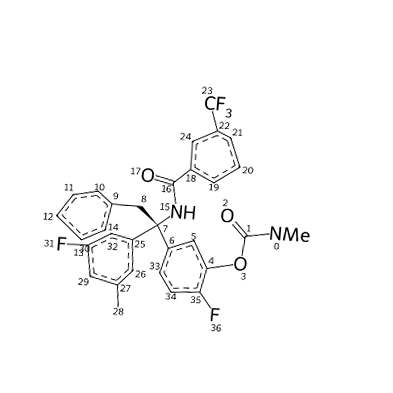 CNC(=O)Oc1cc([C@@](Cc2ccccc2)(NC(=O)c2cccc(C(F)(F)F)c2)c2cc(C)cc(F)c2)ccc1F